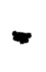 c1ccc(N(c2ccccc2)c2cccc3c2-c2ccccc2C32c3ccccc3-c3c2cc2ccccc2c3N(c2ccccc2)c2cccc3c2sc2ccccc23)cc1